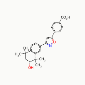 CC1(C)CC(O)C(C)(C)c2cc(-c3cc(-c4ccc(C(=O)O)cc4)on3)ccc21